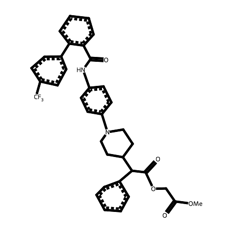 COC(=O)COC(=O)C(c1ccccc1)C1CCN(c2ccc(NC(=O)c3ccccc3-c3ccc(C(F)(F)F)cc3)cc2)CC1